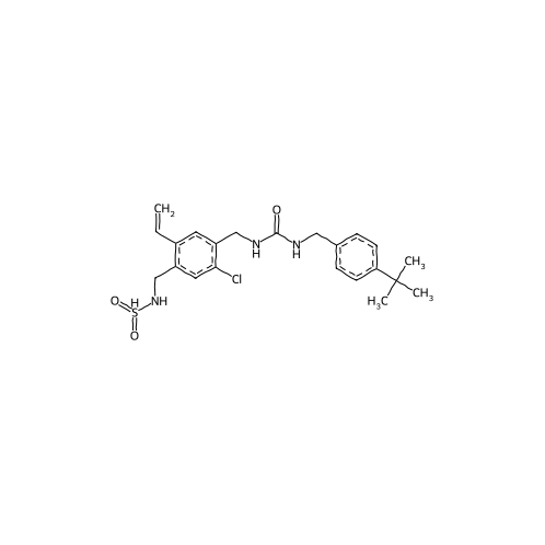 C=Cc1cc(CNC(=O)NCc2ccc(C(C)(C)C)cc2)c(Cl)cc1CN[SH](=O)=O